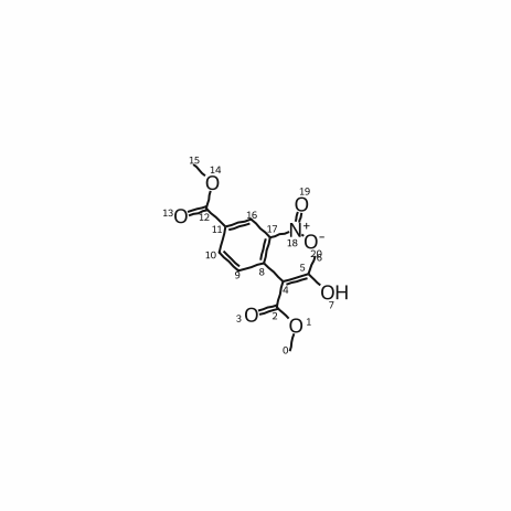 COC(=O)/C(=C(/C)O)c1ccc(C(=O)OC)cc1[N+](=O)[O-]